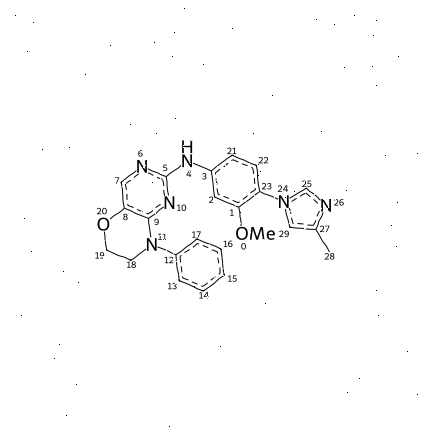 COc1cc(Nc2ncc3c(n2)N(c2ccccc2)CCO3)ccc1-n1cnc(C)c1